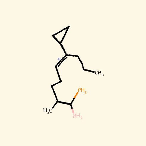 BC(P)C(C)CC/C=C(\CCC)C1CC1